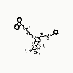 COC(=O)[C@@H](C)NC(=O)[C@@H](C)NC(=O)[C@H](CCCCNC(=O)OCC1c2ccccc2-c2ccccc21)NC(=O)[C@@H](N)CCC(=O)OCc1ccccc1